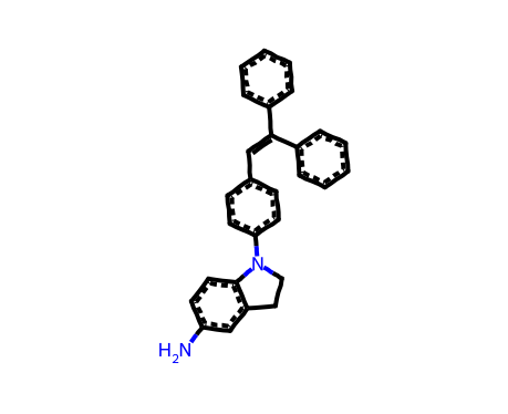 Nc1ccc2c(c1)CCN2c1ccc(C=C(c2ccccc2)c2ccccc2)cc1